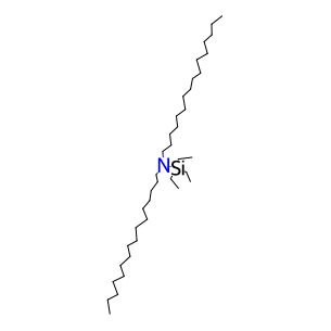 CCCCCCCCCCCCCCCCN(CCCCCCCCCCCCCCCC)[Si](CC)(CC)CC